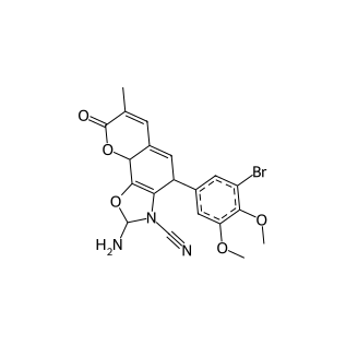 COc1cc(C2C=C3C=C(C)C(=O)OC3C3=C2N(C#N)C(N)O3)cc(Br)c1OC